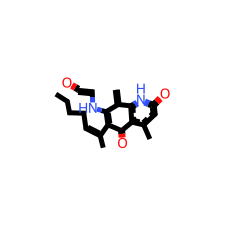 C=C1C(NC=C=O)=C(/C(C)=C\CCCC)C(=O)c2c(C)cc(=O)[nH]c21